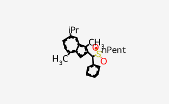 CCCCCS(=O)(=O)C(c1ccccc1)c1cc2c(C)ccc(C(C)C)cc-2c1C